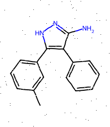 Cc1cccc(-c2[nH]nc(N)c2-c2ccccc2)c1